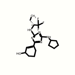 CC[C@@H](Nc1nc(NC2CCCC2)nc(C2=CC(O)CCC2)n1)C(F)(F)F